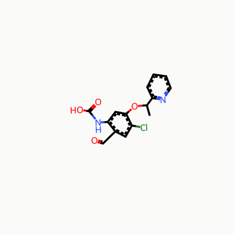 CC(Oc1cc(NC(=O)O)c(C=O)cc1Cl)c1ccccn1